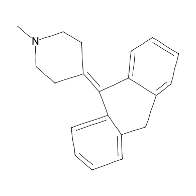 CN1CCC(=C2c3ccccc3Cc3ccccc32)CC1